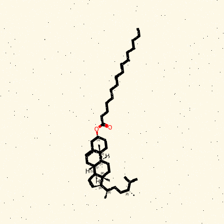 CCCCCCCCCCCCCCCC(=O)O[C@H]1CC[C@@]2(C)C(=CC[C@H]3[C@@H]4CC[C@H]([C@H](C)CC[C@@H](C)C(C)C)[C@@]4(C)CC[C@@H]32)C1